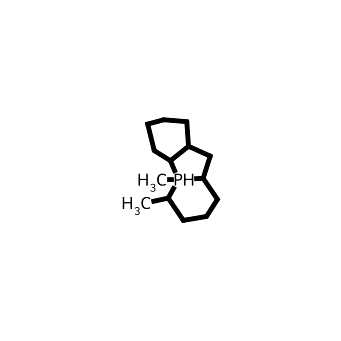 CC1CCCC2CC3CCCCC3[PH]12C